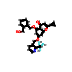 O=c1cc(C2CC2)oc2cc(OCc3cccnc3C(F)(F)F)cc(OCc3ccccc3CO)c12